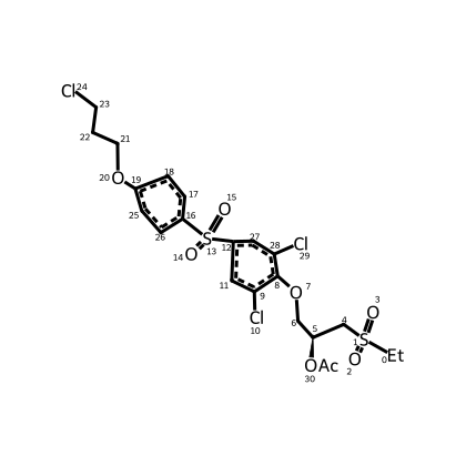 CCS(=O)(=O)C[C@H](COc1c(Cl)cc(S(=O)(=O)c2ccc(OCCCCl)cc2)cc1Cl)OC(C)=O